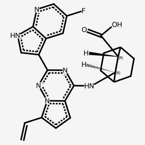 C=Cc1ccc2c(N[C@@H]3C4CCC(CC4)[C@H]3C(=O)O)nc(-c3c[nH]c4ncc(F)cc34)nn12